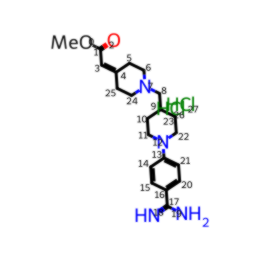 COC(=O)C=C1CCN(CC2CCN(c3ccc(C(=N)N)cc3)CC2)CC1.Cl.Cl